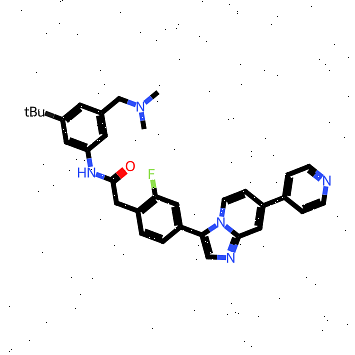 CN(C)Cc1cc(NC(=O)Cc2ccc(-c3cnc4cc(-c5ccncc5)ccn34)cc2F)cc(C(C)(C)C)c1